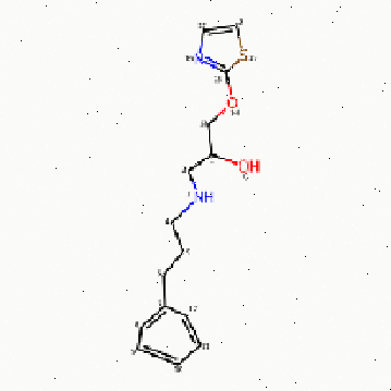 OC(CNCCCc1ccccc1)COc1nccs1